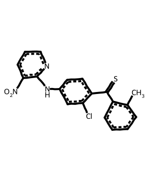 Cc1ccccc1C(=S)c1ccc(Nc2ncccc2[N+](=O)[O-])cc1Cl